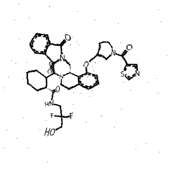 O=C(NCC(F)(F)CO)[C@@H]1CCCCC1C(=O)N1CCc2cccc(OC3CCN(C(=O)c4cncs4)C3)c2[C@H]1CN1C(=O)c2ccccc2C1=O